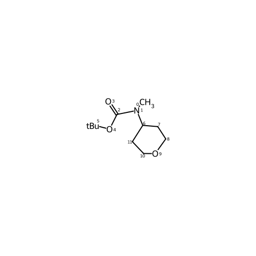 CN(C(=O)OC(C)(C)C)C1CCOCC1